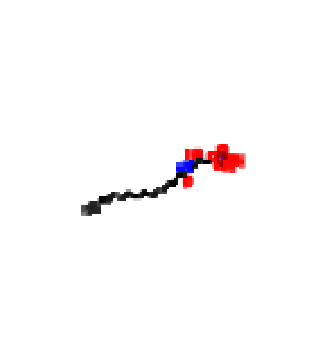 CCCCC=CCCCCCCCCCCCC(=O)NCC(O)COP(=O)(O)O